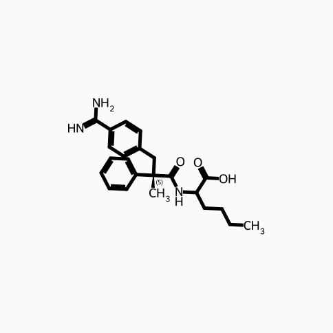 CCCCC(NC(=O)[C@@](C)(Cc1ccc(C(=N)N)cc1)c1ccccc1)C(=O)O